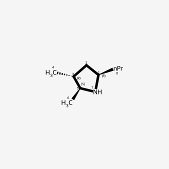 CCC[C@@H]1C[C@@H](C)[C@H](C)N1